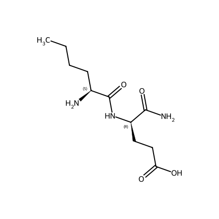 CCCC[C@H](N)C(=O)N[C@H](CCC(=O)O)C(N)=O